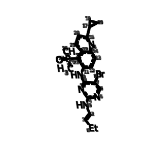 CC/C=C/Nc1ncc(Br)c(Nc2ccc3nc(C4CC4)ccc3c2P(C)(C)=O)n1